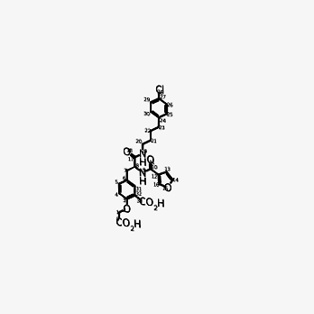 O=C(O)COc1ccc(C[C@H](NC(=O)c2ccoc2)C(=O)NCCCCc2ccc(Cl)cc2)cc1C(=O)O